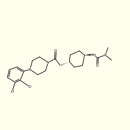 CN(C)C(=O)N[C@H]1CC[C@H](CC(=O)N2CCN(c3cccc(Cl)c3Cl)CC2)CC1